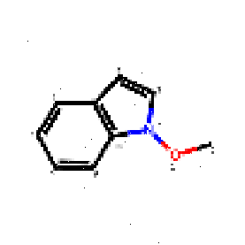 COn1ccc2[c]cccc21